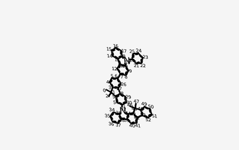 CC1(C)c2ccc(-c3ccc4c(c3)c3ccccc3n4-c3ccccc3)cc2-c2ccc(-n3c4ccccc4c4ccc5c(c43)C(C)(C)c3ccccc3-5)cc21